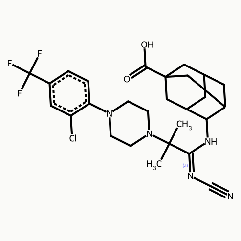 CC(C)(/C(=N/C#N)NC1C2CC3CC1CC(C(=O)O)(C3)C2)N1CCN(c2ccc(C(F)(F)F)cc2Cl)CC1